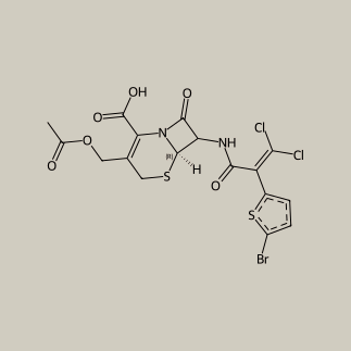 CC(=O)OCC1=C(C(=O)O)N2C(=O)C(NC(=O)C(=C(Cl)Cl)c3ccc(Br)s3)[C@H]2SC1